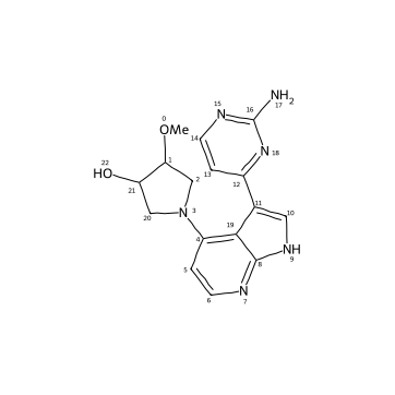 COC1CN(c2ccnc3[nH]cc(-c4ccnc(N)n4)c23)CC1O